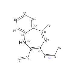 C=CC1=C(/C=C\C)N=C(C)c2ccccc2N1